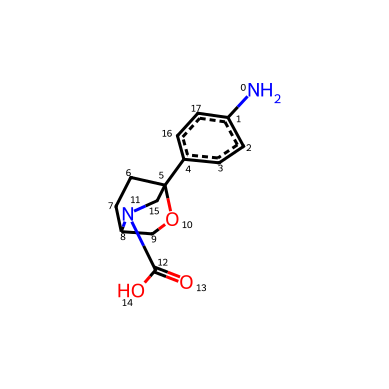 Nc1ccc(C23CCC(CO2)N(C(=O)O)C3)cc1